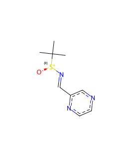 CC(C)(C)[S@+]([O-])N=Cc1cnccn1